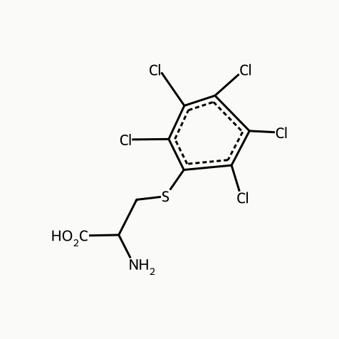 NC(CSc1c(Cl)c(Cl)c(Cl)c(Cl)c1Cl)C(=O)O